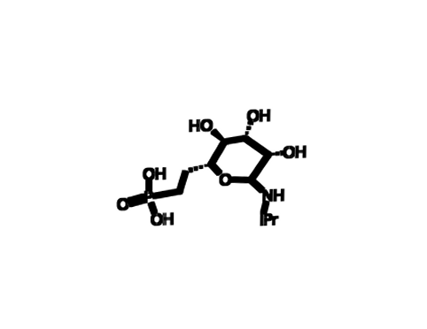 CC(C)NC1O[C@H](CCP(=O)(O)O)[C@@H](O)[C@H](O)[C@@H]1O